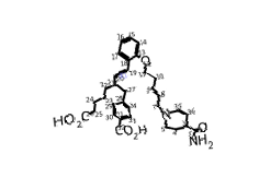 NC(=O)C1CCN(CCCCCOc2ccccc2/C=C/C(CCCCC(=O)O)Cc2ccc(C(=O)O)cc2)CC1